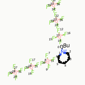 CCCC[n+]1ccccc1.F[B-](F)(F)F.F[B-](F)(F)F.F[B-](F)(F)F.F[B-](F)(F)F.F[B-](F)(F)F.F[B-](F)(F)F